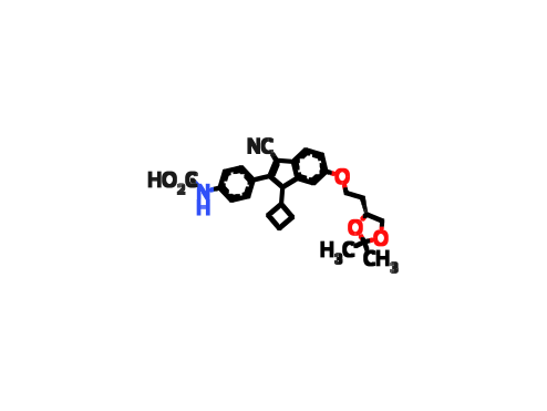 CC1(C)OC[C@H](CCOc2ccc3c(c2)C(C2CCC2)C(c2ccc(NC(=O)O)cc2)=C3C#N)O1